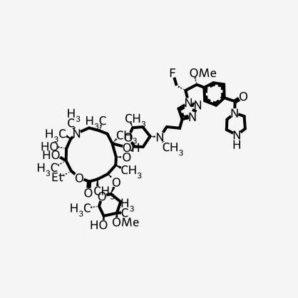 CC[C@H]1OC(=O)[C@H](C)[C@@H](O[C@H]2C[C@@](C)(OC)[C@@H](O)[C@H](C)O2)[C@H](C)[C@@H](O[C@H]2C[C@@H](N(C)CCc3cn([C@H](CF)[C@H](OC)c4ccc(C(=O)N5CCNCC5)cc4)nn3)C[C@@H](C)O2)[C@](C)(O)C[C@@H](C)CN(C)[C@H](C)[C@@H](O)[C@]1(C)O